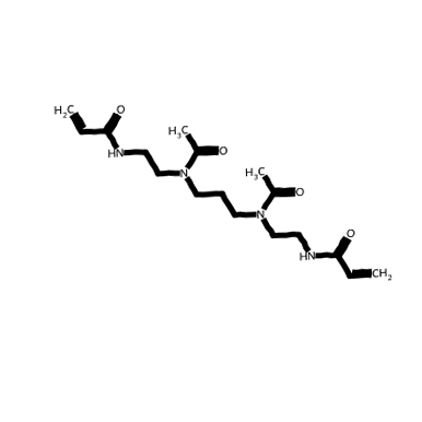 C=CC(=O)NCCN(CCCN(CCNC(=O)C=C)C(C)=O)C(C)=O